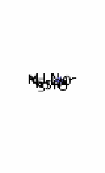 CN(C)Cc1csc(CSCCN(C)/C(N)=C\[N+](=O)[O-])c1